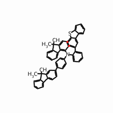 CC1(C)c2ccccc2-c2ccc(-c3ccc(N(c4ccccc4-c4ccc5sc6ccccc6c5c4)c4cccc5c4-c4ccccc4C5(C)C)cc3)cc21